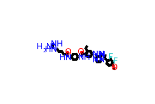 CCc1cc(Nc2nccn3c(-c4ccc(OC)c(F)c4F)cnc23)ccc1C(=O)NC1CCC(NC(=O)CCCCNC(=N)N)CC1